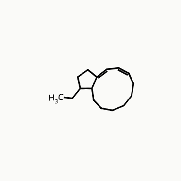 CCC1CCC2=CC=CCCCCCCC21